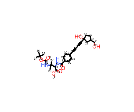 COC(=O)C(NC(=O)c1ccc(C#CC#CC2(O)CCC(CO)C2)cc1)C(C)(C)NC(=O)OC(C)(C)C